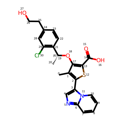 Cc1c(-c2cnc3ccccn23)sc(C(=O)O)c1O[C@H](C)c1ccc(CCO)cc1Cl